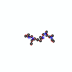 c1ccc(-c2ccc3c(c2)c2cc(-c4ccc(-c5cccc6c5-c5cccc7c(-c8cccc(-n9c%10ccccc%10c%10cc(-c%11ccc%12c(c%11)c%11ccccc%11n%12-c%11ccc%12ccccc%12c%11)ccc%109)c8)ncc-6c57)cc4)ccc2n3-c2cccc(-c3ncc4c5c(cccc35)-c3ccccc3-4)c2)cc1